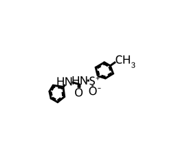 Cc1ccc([S+]([O-])NC(=O)Nc2ccccc2)cc1